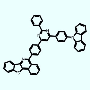 c1ccc(-c2nc(-c3ccc(-c4nc5c6ccccc6sc5c5ccccc45)cc3)cc(-c3ccc(-n4c5ccccc5c5ccccc54)cc3)n2)cc1